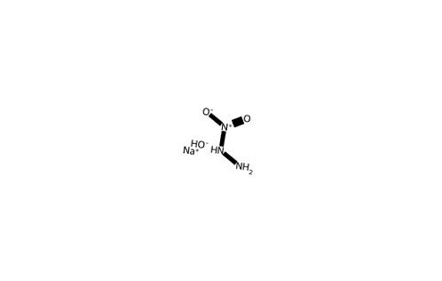 NN[N+](=O)[O-].[Na+].[OH-]